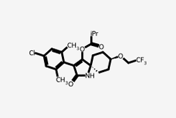 Cc1cc(Cl)cc(C)c1C1=C(OC(=O)C(C)C)[C@]2(CC[C@H](OCC(F)(F)F)CC2)NC1=O